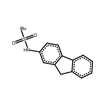 CCC(C)S(=O)(=O)Nc1ccc2c(c1)Cc1ccccc1-2